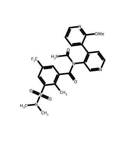 COc1ncccc1-c1ccncc1N(C(N)=O)C(=O)c1cc(C(F)(F)F)cc(S(=O)(=O)N(C)C)c1C